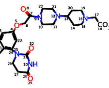 Cc1ccc(OCC(=O)N2CCN(C3CCN(CC(=O)O)CC3)CC2)cc1N1CCC(=O)NC1=O